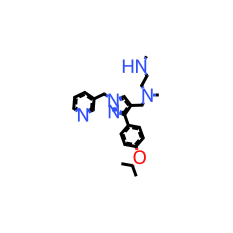 CNCCN(C)Cc1cn(Cc2cccnc2)nc1-c1ccc(OC(C)C)cc1